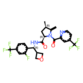 C=C1[C@H](C)C[C@H](C(=O)N[C@@H](c2ccc(C(F)(F)F)cc2F)C2COC2)N1C(=O)c1cc(C(F)(F)F)ccn1